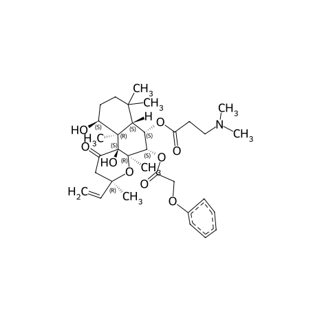 C=C[C@@]1(C)CC(=O)[C@]2(O)[C@@]3(C)[C@@H](O)CCC(C)(C)[C@@H]3[C@H](OC(=O)CCN(C)C)[C@H](OC(=O)COc3ccccc3)[C@@]2(C)O1